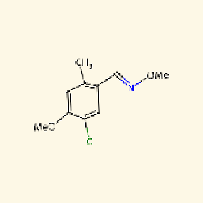 CO/N=C/c1cc(Cl)c(OC)cc1C